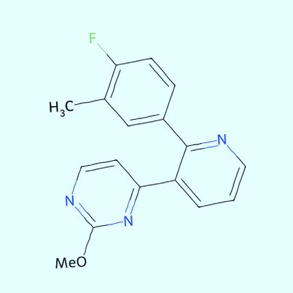 COc1nccc(-c2cccnc2-c2ccc(F)c(C)c2)n1